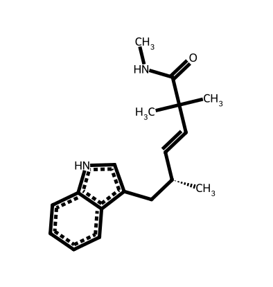 CNC(=O)C(C)(C)/C=C/[C@H](C)Cc1c[nH]c2ccccc12